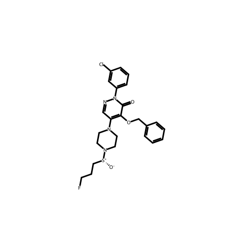 O=c1c(OCc2ccccc2)c(N2CCN([S@+]([O-])CCCF)CC2)cnn1-c1cccc(Cl)c1